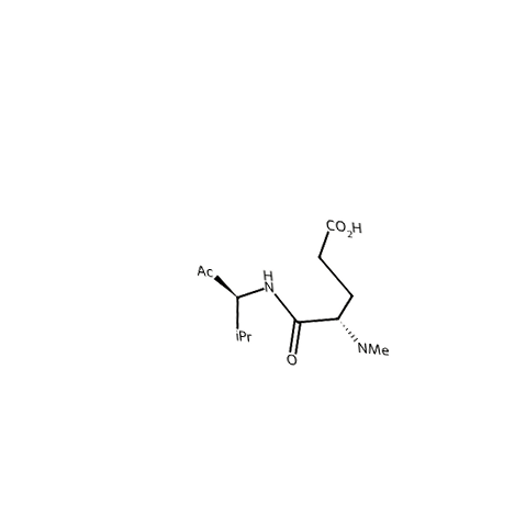 CN[C@@H](CCC(=O)O)C(=O)N[C@H](C(C)=O)C(C)C